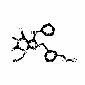 CC(C)Cn1c(=O)n(C)c(=O)c2c(Nc3ccccc3)n(Cc3cccc(CNC(C)C)c3)nc21